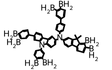 Bc1ccc(-c2ccc(N(c3ccc4c(c3)C(C)(C)c3c-4ccc(B)c3B)c3ccc4c(c3)c3ccc(-c5ccc(B)c(B)c5)cc3n4-c3ccc(B)c(B)c3)cc2)cc1B